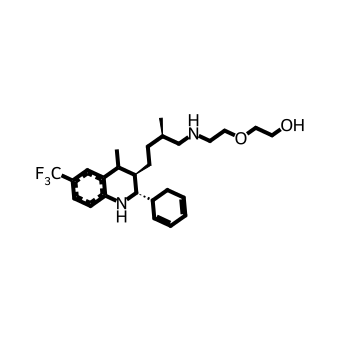 CC1c2cc(C(F)(F)F)ccc2N[C@@H](C2C=CC=CC2)[C@@H]1CC[C@@H](C)CNCCOCCO